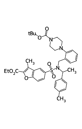 CCOC(=O)c1oc2ccc(S(=O)(=O)N(Cc3ccccc3N3CCN(C(=O)OC(C)(C)C)CC3)C(C)c3ccc(C)cc3)cc2c1C